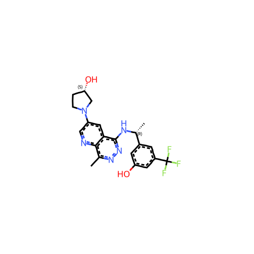 Cc1nnc(N[C@H](C)c2cc(O)cc(C(F)(F)F)c2)c2cc(N3CC[C@H](O)C3)cnc12